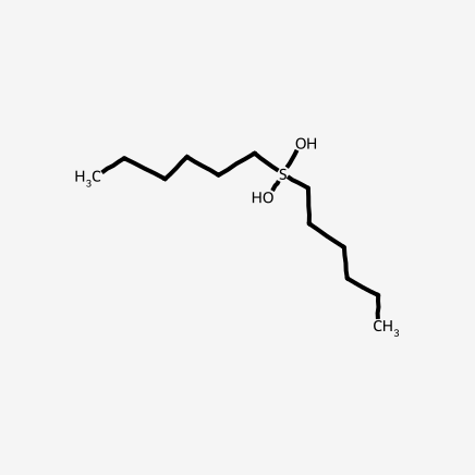 CCCCCCS(O)(O)CCCCCC